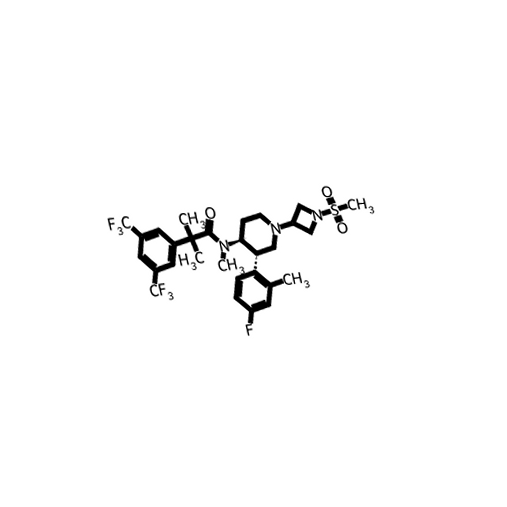 Cc1cc(F)ccc1[C@H]1CN(C2CN(S(C)(=O)=O)C2)CC[C@@H]1N(C)C(=O)C(C)(C)c1cc(C(F)(F)F)cc(C(F)(F)F)c1